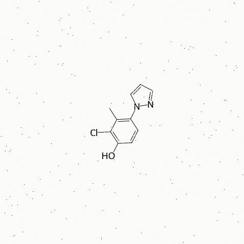 Cc1c(-n2cccn2)ccc(O)c1Cl